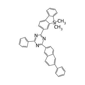 C[Si]1(C)c2ccccc2-c2ccc(-c3nc(-c4ccccc4)nc(-c4ccc5cc(-c6ccccc6)ccc5c4)n3)cc21